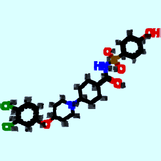 O=C(NS(=O)(=O)c1ccc(O)cc1)C1CCC(N2CCC(Oc3ccc(Cl)c(Cl)c3)CC2)CC1